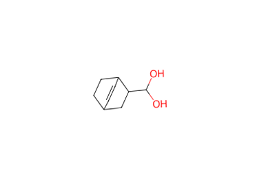 OC(O)C1CC2C=CC1CC2